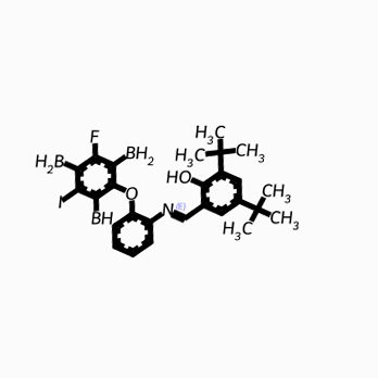 Bc1c(F)c(B)c(Oc2ccccc2/N=C/c2cc(C(C)(C)C)cc(C(C)(C)C)c2O)c(B)c1I